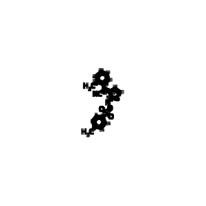 Cc1ccc(S(=O)(=O)O/N=C2\SC=C\C2=C(\C#N)c2ccccc2C)cc1